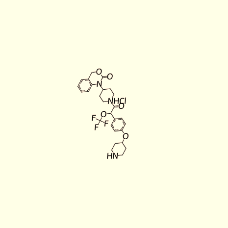 Cl.O=C(C(OC(F)(F)F)c1ccc(OC2CCNCC2)cc1)N1CCC(N2C(=O)OCc3ccccc32)CC1